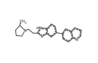 C[C@@H]1CCCN1CCc1nc2cc(-c3ccc4ncccc4c3)ccc2[nH]1